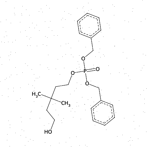 CC(C)(CCO)CCOP(=O)(OCc1ccccc1)OCc1ccccc1